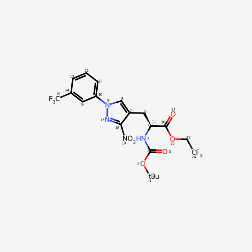 CC(C)(C)OC(=O)N[C@@H](Cc1cn(-c2cccc(C(F)(F)F)c2)nc1[N+](=O)[O-])C(=O)OCC(F)(F)F